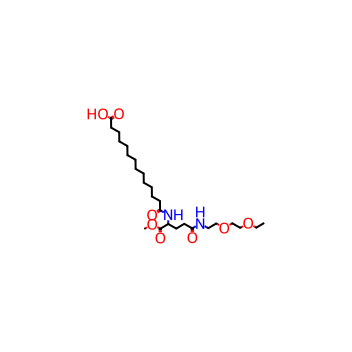 CCOCCOCCNC(=O)CCC(NC(=O)CCCCCCCCCCCCC(=O)O)C(=O)OC